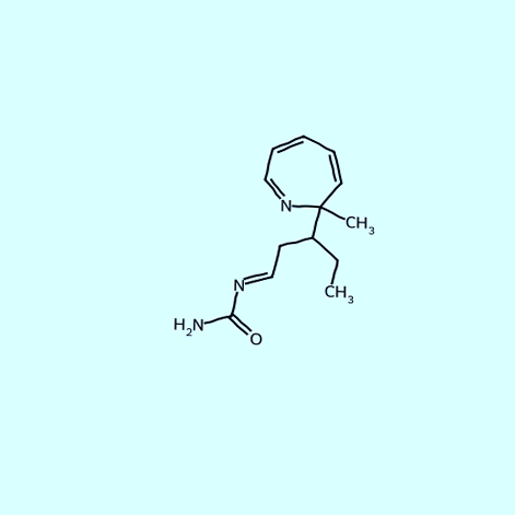 CCC(CC=NC(N)=O)C1(C)C=CC=CC=N1